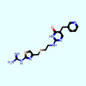 N=C(N)Nc1nc(CSCCNc2ncc(Cc3cccnc3)c(=O)[nH]2)cs1